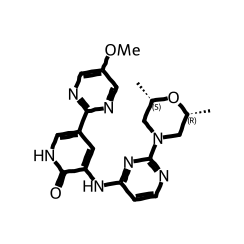 COc1cnc(-c2c[nH]c(=O)c(Nc3ccnc(N4C[C@@H](C)O[C@@H](C)C4)n3)c2)nc1